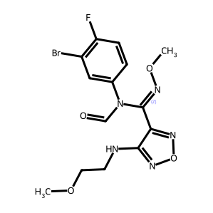 COCCNc1nonc1/C(=N/OC)N(C=O)c1ccc(F)c(Br)c1